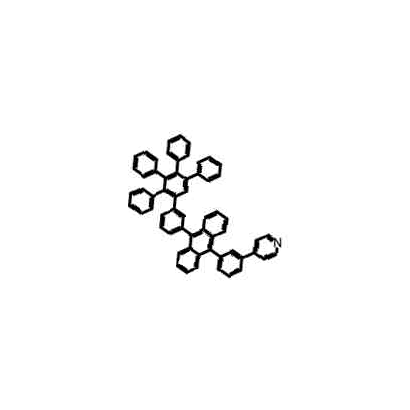 c1ccc(-c2cc(-c3cccc(-c4c5ccccc5c(-c5cccc(-c6ccncc6)c5)c5ccccc45)c3)c(-c3ccccc3)c(-c3ccccc3)c2-c2ccccc2)cc1